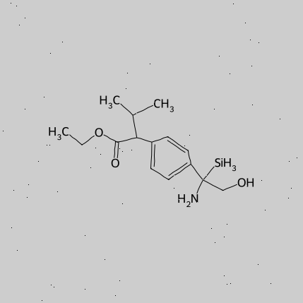 CCOC(=O)C(c1ccc(C(N)([SiH3])CO)cc1)C(C)C